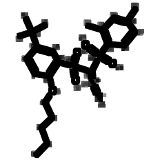 CCCCCOc1ccc(C(C)(C)C)cc1S(=O)(=O)C(=[N+]=[N-])S(=O)(=O)c1ccc(C)cc1C